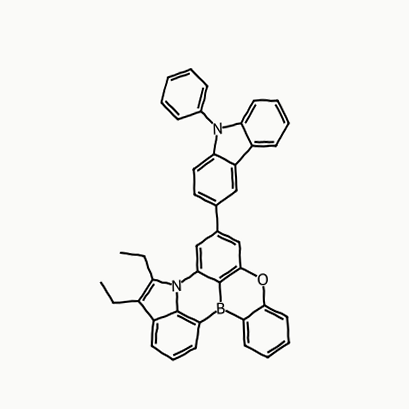 CCc1c(CC)n2c3c(cccc13)B1c3ccccc3Oc3cc(-c4ccc5c(c4)c4ccccc4n5-c4ccccc4)cc-2c31